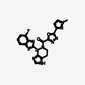 Cn1ccc(-c2nnc(C(=O)N3CCc4[nH]cnc4[C@H]3c3nc4c(F)cccc4s3)o2)n1